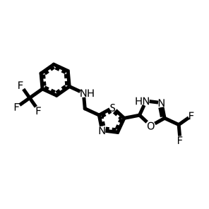 FC(F)C1=NNC(c2cnc(CNc3cccc(C(F)(F)F)c3)s2)O1